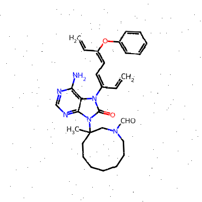 C=C/C(=C\C=C(/C=C)n1c(=O)n(C2(C)CCCCCCCN(C=O)C2)c2ncnc(N)c21)Oc1ccccc1